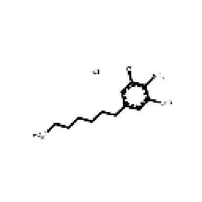 Cl.O=Cc1cc(CCCCCCC(=O)O)cc(Cl)c1[N+](=O)[O-]